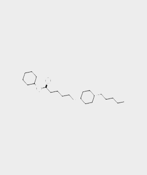 CCCCC[C@H]1CC[C@H](CCCCCC(=O)OC2CCCCC2)CC1